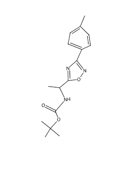 Cc1ccc(-c2noc(C(C)NC(=O)OC(C)(C)C)n2)cc1